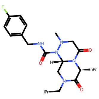 CCC[C@H]1C(=O)N(CC(C)C)C[C@H]2N1C(=O)CN(C)N2C(=O)NCc1ccc(F)cc1